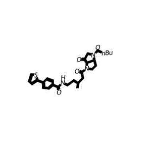 CCCCC(=O)N1CC(=O)C2C1CCN2C(=O)CC(C)CCNC(=O)c1ccc(-c2cccs2)cc1